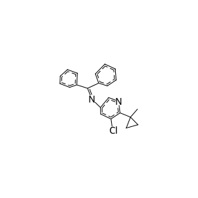 CC1(c2ncc(N=C(c3ccccc3)c3ccccc3)cc2Cl)CC1